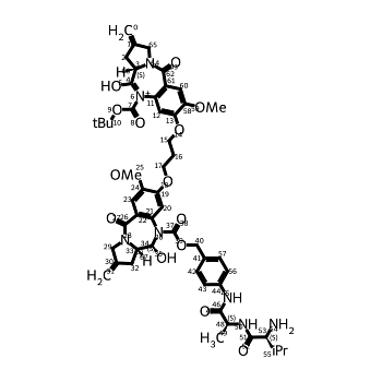 C=C1C[C@H]2C(O)=[N+](C(=O)OC(C)(C)C)c3cc(OCCCOc4cc5c(cc4OC)C(=O)N4CC(=C)C[C@H]4[C@H](O)N5C(=O)OCc4ccc(NC(=O)[C@H](C)NC(=O)[C@@H](N)C(C)C)cc4)c(OC)cc3C(=O)N2C1